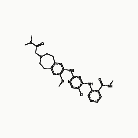 CNC(=O)c1ccccc1Nc1nc(Nc2cc3c(cc2OC)CCN(CC(=O)N(C)C)CC3)ncc1Cl